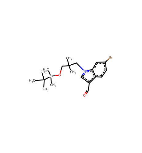 CC(C)(CO[Si](C)(C)C(C)(C)C)Cn1cc(C=O)c2ccc(Br)cc21